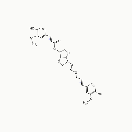 COc1cc(/C=C/COSOC2COC3C(OC(=O)/C=C/c4ccc(O)c(OC)c4)COC23)ccc1O